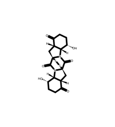 O=C1CC[C@H](O)[C@H]2[C@@H]1C[C@@]13SS[C@]4(C[C@@H]5C(=O)CC[C@H](O)[C@@H]5N4C1=O)C(=O)N23